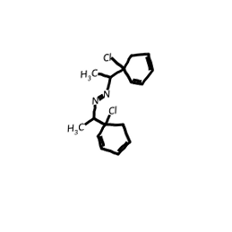 CC(N=NC(C)C1(Cl)C=CC=CC1)C1(Cl)C=CC=CC1